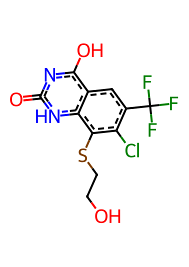 O=c1nc(O)c2cc(C(F)(F)F)c(Cl)c(SCCO)c2[nH]1